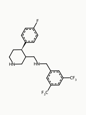 Fc1ccc([C@@H]2CCNCC2CNCc2cc(C(F)(F)F)cc(C(F)(F)F)c2)cc1